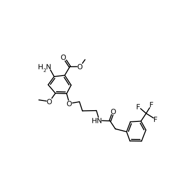 COC(=O)c1cc(OCCCNC(=O)Cc2cccc(C(F)(F)F)c2)c(OC)cc1N